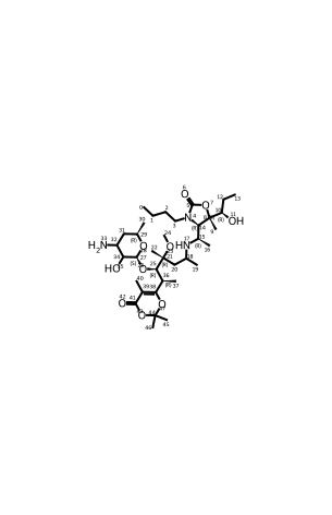 CCCCN1C(=O)O[C@](C)([C@H](O)CC)[C@H]1[C@@H](C)NC(C)C[C@@](C)(OC)[C@H](O[C@@H]1O[C@H](C)CC(N)C1O)[C@@H](C)C1=C(C)C(=O)OC(C)(C)O1